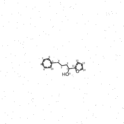 OC(CCCc1ccccc1)c1ccco1